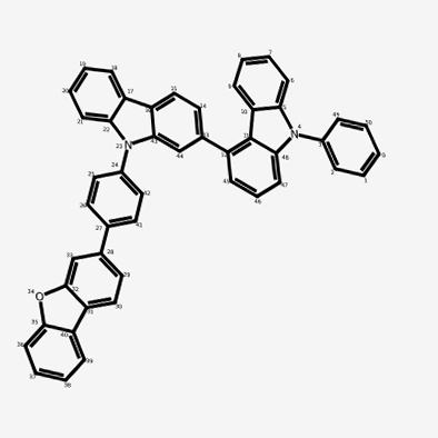 c1ccc(-n2c3ccccc3c3c(-c4ccc5c6ccccc6n(-c6ccc(-c7ccc8c(c7)oc7ccccc78)cc6)c5c4)cccc32)cc1